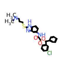 CN(C)CCCSc1nc2cc(NC(=O)COc3ccc(Cl)cc3C(=O)c3ccccc3)ccc2[nH]1